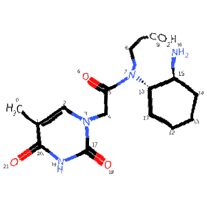 Cc1cn(CC(=O)N(CC(=O)O)[C@H]2CCCC[C@@H]2N)c(=O)[nH]c1=O